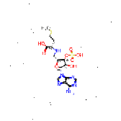 CSCC[C@H](NC[C@H]1O[C@@H](n2cnc3c(N)ncnc32)[C@H](O)[C@@H]1OS(=O)(=O)O)C(=O)O